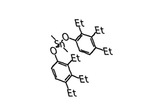 CCc1ccc([O][Sn]([CH3])([CH3])[O]c2ccc(CC)c(CC)c2CC)c(CC)c1CC